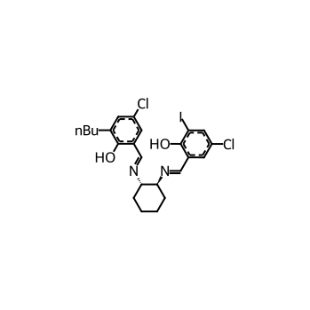 CCCCc1cc(Cl)cc(/C=N/[C@H]2CCCC[C@@H]2/N=C/c2cc(Cl)cc(I)c2O)c1O